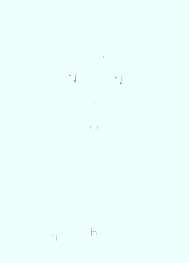 O=C1C(=Cc2nc3oc(-c4ccccc4)nc3o2)C(=O)c2cc3cc(Br)c(Br)cc3cc21